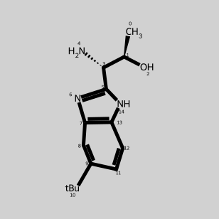 C[C@@H](O)[C@@H](N)c1nc2cc(C(C)(C)C)ccc2[nH]1